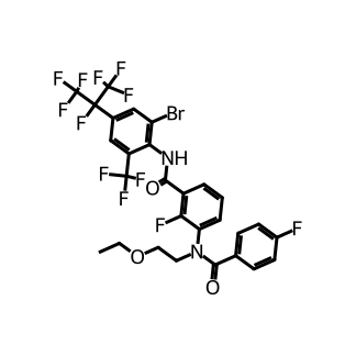 CCOCCN(C(=O)c1ccc(F)cc1)c1cccc(C(=O)Nc2c(Br)cc(C(F)(C(F)(F)F)C(F)(F)F)cc2C(F)(F)F)c1F